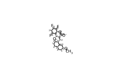 COc1ccc2ccc3c(c2c1)C=C([N+](=O)[O-])C(c1cc(F)c(F)cc1F)O3